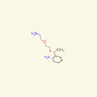 CC(OCCOCCN)c1ccccc1N